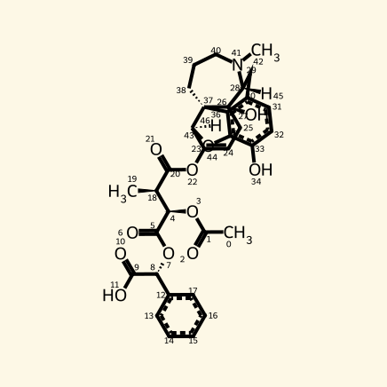 CC(=O)O[C@@H](C(=O)O[C@@H](C(=O)O)c1ccccc1)[C@@H](C)C(=O)OC1=CC[C@@]2(O)[C@H]3Cc4ccc(O)c5c4[C@@]2(CCCN3C)[C@H]1O5